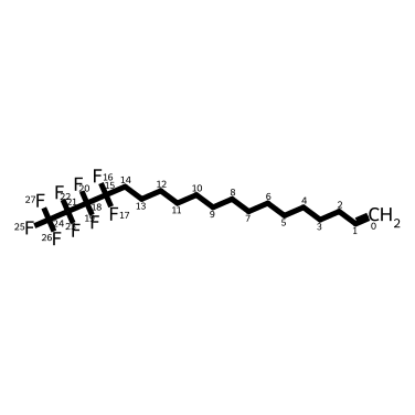 C=CCCCCCCCCCCCCCC(F)(F)C(F)(F)C(F)(F)C(F)(F)F